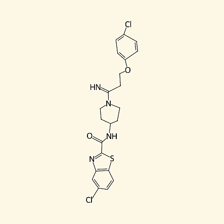 N=C(CCOc1ccc(Cl)cc1)N1CCC(NC(=O)c2nc3cc(Cl)ccc3s2)CC1